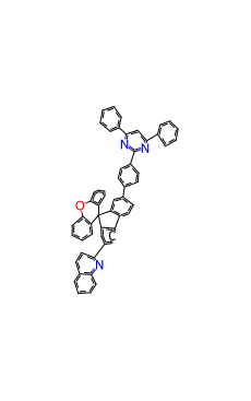 c1ccc(-c2cc(-c3ccccc3)nc(-c3ccc(-c4ccc5c(c4)C4(c6ccccc6Oc6ccccc64)c4cc(-c6ccc7ccccc7n6)ccc4-5)cc3)n2)cc1